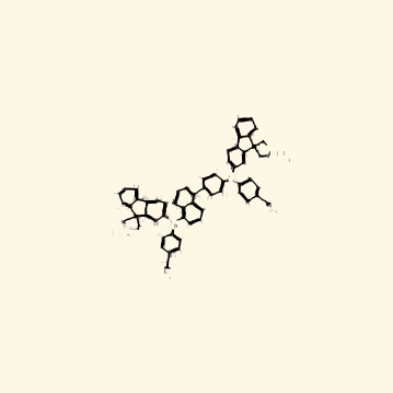 CCC1(CC)c2ccccc2-c2ccc(N(c3ccc(C#N)cc3)c3ccc(-c4cccc5c(N(c6ccc(C#N)cc6)c6ccc7c(c6)C(CC)(CC)c6ccccc6-7)cccc45)cc3)cc21